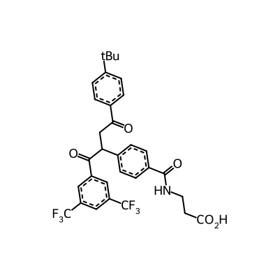 CC(C)(C)c1ccc(C(=O)CC(C(=O)c2cc(C(F)(F)F)cc(C(F)(F)F)c2)c2ccc(C(=O)NCCC(=O)O)cc2)cc1